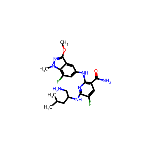 COc1nn(C)c2c(F)cc(Nc3nc(NC(CN)CC(C)C)c(F)cc3C(N)=O)cc12